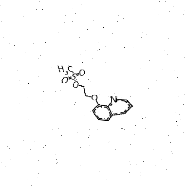 CS(=O)(=O)OCCOc1cccc2cccnc12